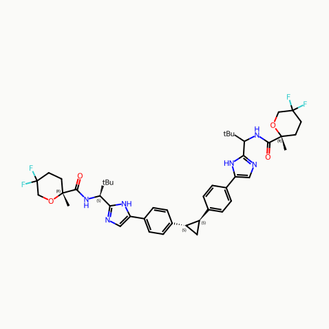 CC(C)(C)C(NC(=O)[C@@]1(C)CCC(F)(F)CO1)c1ncc(-c2ccc([C@H]3C[C@@H]3c3ccc(-c4cnc([C@@H](NC(=O)[C@@]5(C)CCC(F)(F)CO5)C(C)(C)C)[nH]4)cc3)cc2)[nH]1